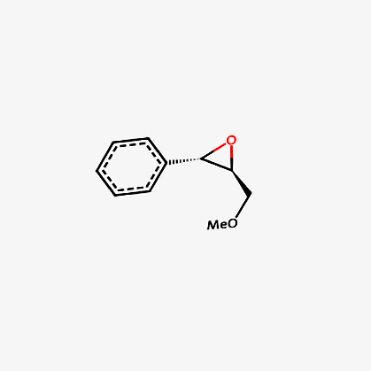 COC[C@@H]1O[C@H]1c1ccccc1